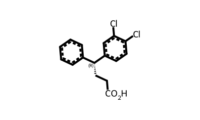 O=C(O)CC[C@H](c1ccccc1)c1ccc(Cl)c(Cl)c1